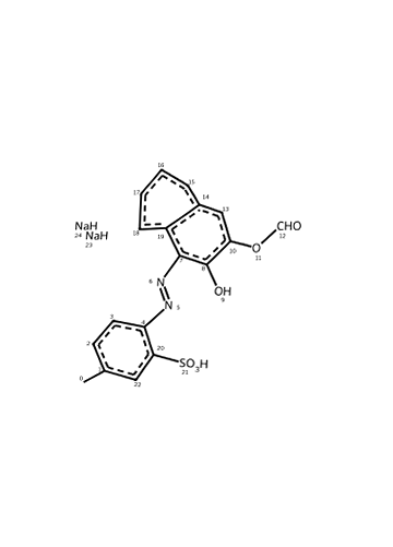 Cc1ccc(N=Nc2c(O)c(OC=O)cc3ccccc23)c(S(=O)(=O)O)c1.[NaH].[NaH]